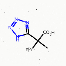 CCCC(C)(C(=O)O)c1nnn[nH]1